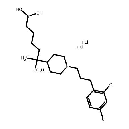 Cl.Cl.NC(CCCCB(O)O)(C(=O)O)C1CCN(CCCc2ccc(Cl)cc2Cl)CC1